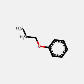 [SiH3][SiH2]COc1ccccc1